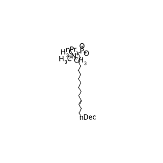 CCCCCCCCCCCCC=CCCCCCCCCCCC(CCC)(P(=O)=O)[N+](C)(C)C